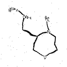 CC(=O)N1CCOCC1CNC(C)C